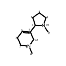 CN1CCC=C(C2CCCN2C)C1